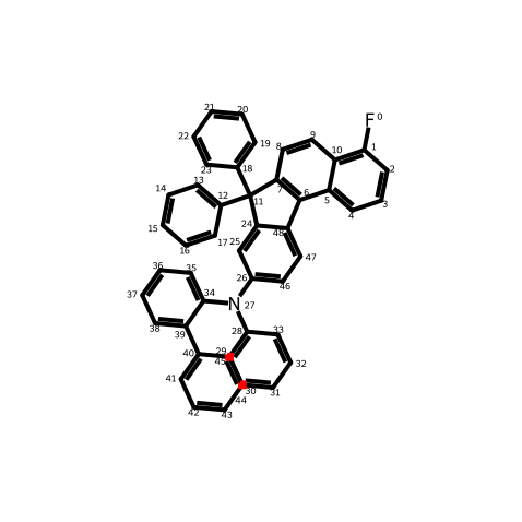 Fc1cccc2c3c(ccc12)C(c1ccccc1)(c1ccccc1)c1cc(N(c2ccccc2)c2ccccc2-c2ccccc2)ccc1-3